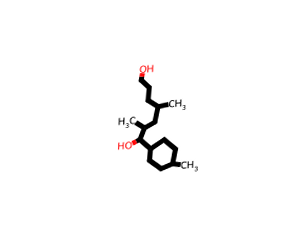 CC1CCC(C(O)C(C)CC(C)CCCO)CC1